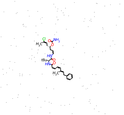 C/C(Cl)=C\C[C@@H](C/C=C\NC(=O)[C@@H](NC(=O)\C=C/C=C\C(C)=C\Cc1ccccc1)C(C)(C)C)OC(N)=O